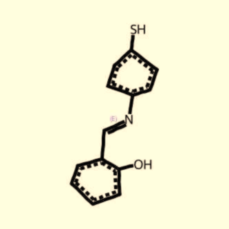 Oc1ccccc1/C=N/c1ccc(S)cc1